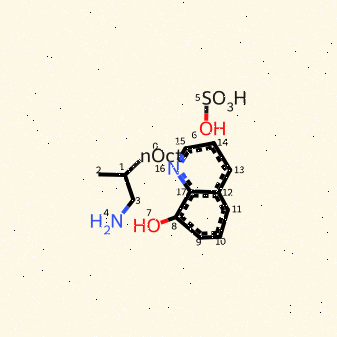 CCCCCCCCC(C)CN.O=S(=O)(O)O.Oc1cccc2cccnc12